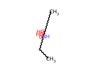 CCCCCCCC/C=C\CCCCCCCC(=O)NC(O)CC(O)CCCCCCCCCCCCCCC